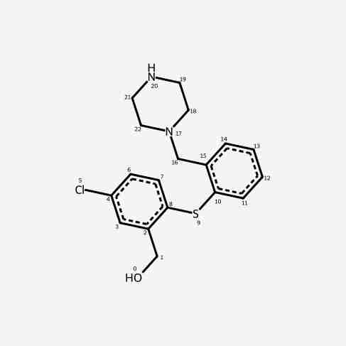 OCc1cc(Cl)ccc1Sc1ccccc1CN1CCNCC1